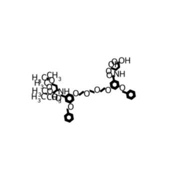 CC(C)(C)OC(=O)CC(NC(=O)c1cc(OCCOCCOCCOc2cc(OCc3ccccc3)cc(C(=O)NC(CC(=O)O)C(=O)O)c2)cc(OCc2ccccc2)c1)C(=O)OC(C)(C)C